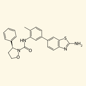 Cc1ccc(-c2ccc3nc(N)sc3c2)cc1NC(=O)N1OCC[C@H]1c1ccccc1